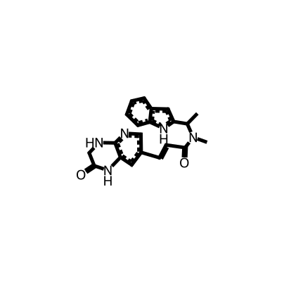 CC(c1cc2ccccc2[nH]1)N(C)C(=O)/C=C/c1cnc2c(c1)NC(=O)CN2